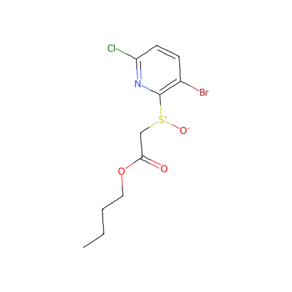 CCCCOC(=O)C[S+]([O-])c1nc(Cl)ccc1Br